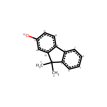 CC1(C)c2ccccc2-c2ccc([O])cc21